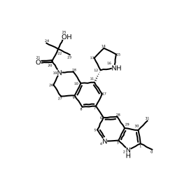 Cc1[nH]c2ncc(-c3cc4c(c([C@@H]5CCCN5)c3)CN(C(=O)C(C)(C)O)CC4)cc2c1C